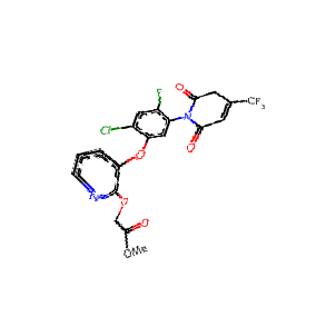 COC(=O)COc1ncccc1Oc1cc(N2C(=O)C=C(C(F)(F)F)CC2=O)c(F)cc1Cl